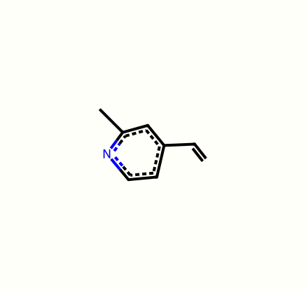 C=Cc1ccnc(C)c1